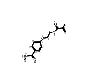 C=C(C)C(=O)OCCOc1ccc(C(=O)NC)cc1